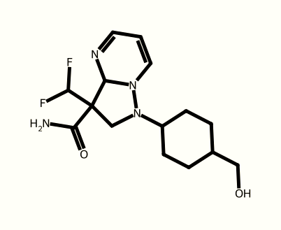 NC(=O)C1(C(F)F)CN(C2CCC(CO)CC2)N2C=CC=NC21